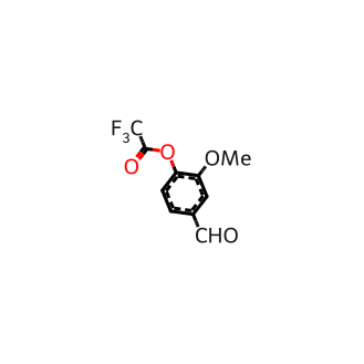 COc1cc(C=O)ccc1OC(=O)C(F)(F)F